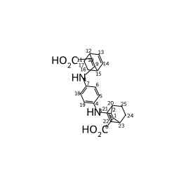 O=C(O)C1=C(Nc2ccc(NC3=C(C(=O)O)C4C=CC3CC4)cc2)C2C=CC1CC2